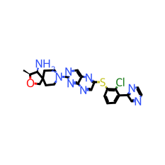 C[C@@H]1OCC2(CCN(c3ncc4nc(Sc5cccc(-c6cnccn6)c5Cl)cnc4n3)CC2)[C@@H]1N